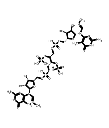 C/N=C/N(c1nc(N)[nH]c(=O)c1C)[C@@H]1O[C@H](COP(=O)(O)OC[C@H](OP(=O)(O)O)[C@@H](COP(=O)(O)OC[C@H]2O[C@@H](N(/C=N/C)c3nc(N)[nH]c(=O)c3C)[C@H](O)[C@@H]2O)OP(=O)(O)O)[C@@H](O)[C@H]1O